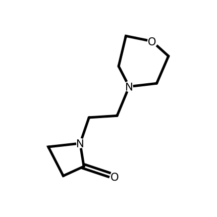 O=C1CCN1CCN1CCOCC1